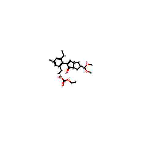 CCOC(=O)O.CCc1cc(C)cc(CC)c1C1=CC2CC(C(OC)OC)CC2C1=O